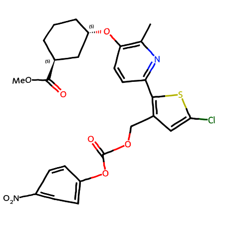 COC(=O)[C@H]1CCC[C@H](Oc2ccc(-c3sc(Cl)cc3COC(=O)Oc3ccc([N+](=O)[O-])cc3)nc2C)C1